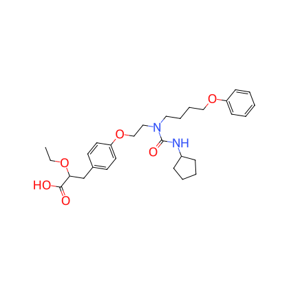 CCOC(Cc1ccc(OCCN(CCCCOc2ccccc2)C(=O)NC2CCCC2)cc1)C(=O)O